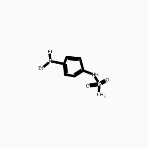 CCN(CC)c1ccc(NS(C)(=O)=O)cc1